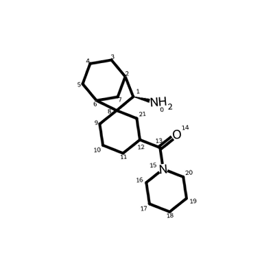 N[C@@H]1C2CCCC(C2)C12CCCC(C(=O)N1CCCCC1)C2